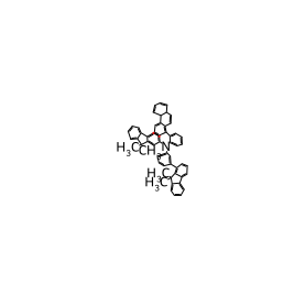 CC1(C)c2ccccc2-c2ccc(N(c3cccc(-c4cccc5c4C(C)(C)c4ccccc4-5)c3)c3ccccc3-c3cccc4c3C=CC3C=CC=CC43)cc21